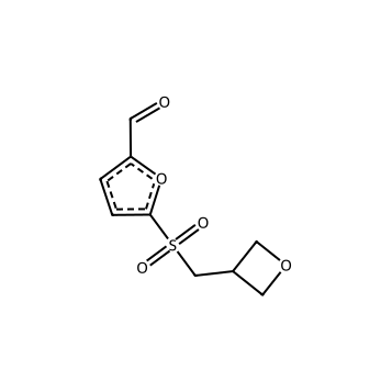 O=Cc1ccc(S(=O)(=O)CC2COC2)o1